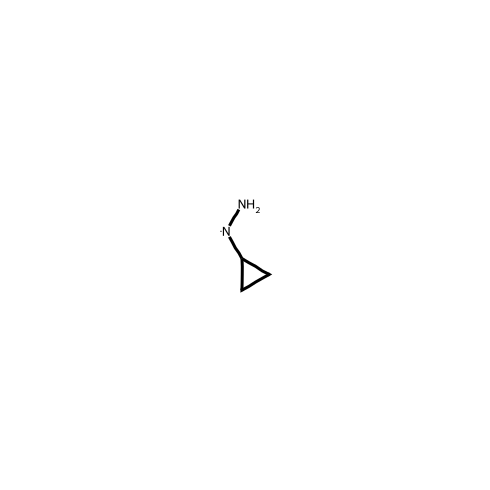 N[N]C1CC1